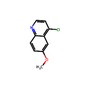 COc1ccc2nc[c]c(Cl)c2c1